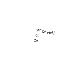 [Cu].[Cu].[Mn].[PbH2].[Zn]